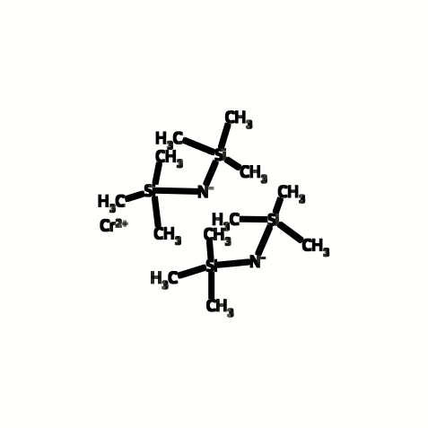 C[Si](C)(C)[N-][Si](C)(C)C.C[Si](C)(C)[N-][Si](C)(C)C.[Cr+2]